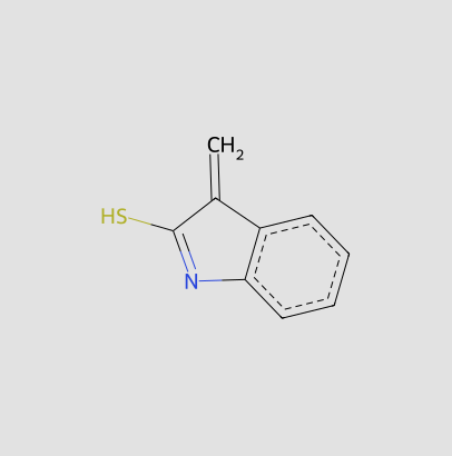 C=C1C(S)=Nc2ccccc21